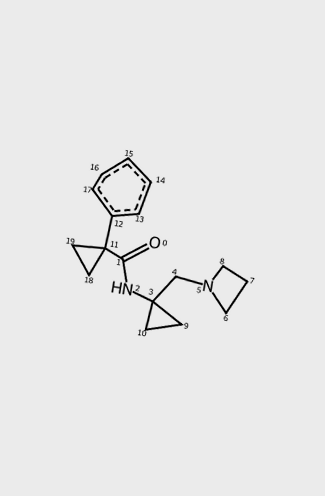 O=C(NC1(CN2CCC2)CC1)C1(c2ccccc2)CC1